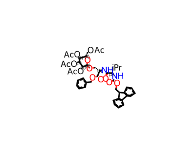 CC(=O)OC[C@H]1O[C@@H](OC[C@H](NC(=O)[C@@H](NC(=O)OCC2c3ccccc3-c3ccccc32)C(C)C)C(=O)OCc2ccccc2)[C@H](OC(C)=O)[C@@H](OC(C)=O)[C@H]1OC(C)=O